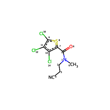 CN(CCC#N)C(=O)c1sc(Cl)c(Cl)c1Cl